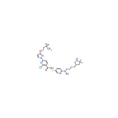 CCN(CCCCC1CNC(C)(C)C1)c1ccc(SNC(=O)c2ccc(-n3ccc(OCCC4(C(F)(F)F)CC4)n3)nc2Cl)cn1